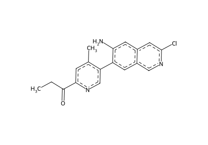 CCC(=O)c1cc(C)c(-c2cc3cnc(Cl)cc3cc2N)cn1